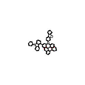 c1ccc(-c2cccc3cccc(-c4ccccc4N(c4cccc(-c5cccc6c5c5ccccc5n6-c5ccccc5)c4)c4ccc5c(c4)oc4ccccc45)c23)cc1